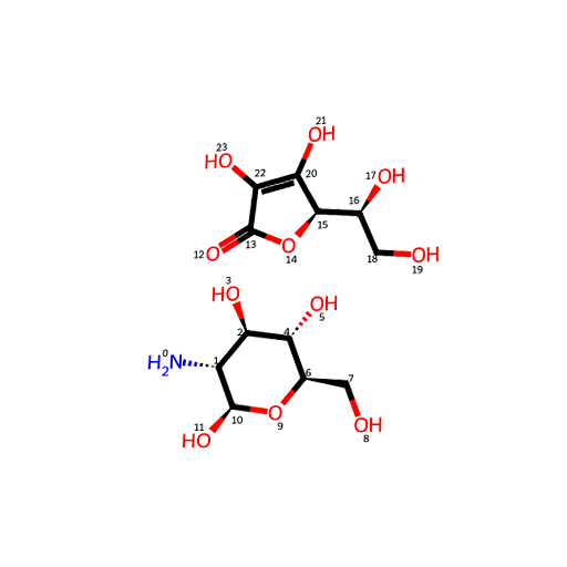 N[C@@H]1[C@@H](O)[C@H](O)[C@@H](CO)O[C@H]1O.O=C1O[C@H]([C@@H](O)CO)C(O)=C1O